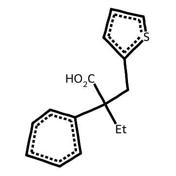 CCC(Cc1cccs1)(C(=O)O)c1ccccc1